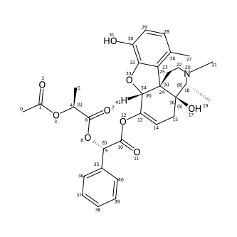 CC(=O)O[C@@H](C)C(=O)O[C@H](C(=O)OC1=CC[C@@]2(O)[C@@H](C)N(C)CC[C@@]23c2c(C)ccc(O)c2O[C@@H]13)c1ccccc1